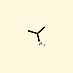 BC(C)C